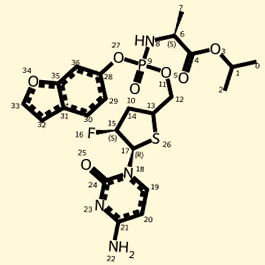 CC(C)OC(=O)[C@H](C)NP(=O)(OCC1C[C@H](F)[C@H](n2ccc(N)nc2=O)S1)Oc1ccc2ccoc2c1